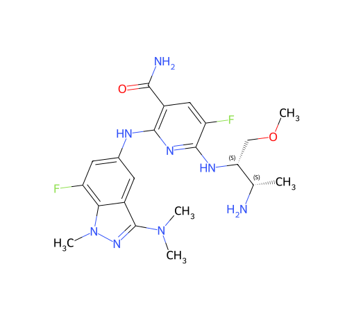 COC[C@@H](Nc1nc(Nc2cc(F)c3c(c2)c(N(C)C)nn3C)c(C(N)=O)cc1F)[C@H](C)N